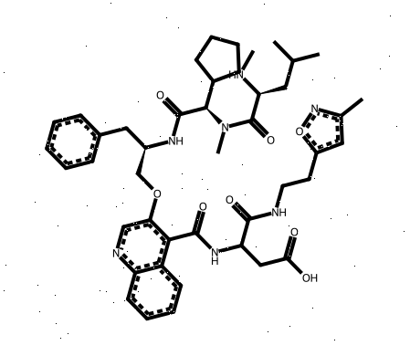 CN[C@@H](CC(C)C)C(=O)N(C)[C@@H](C(=O)N[C@@H](COc1cnc2ccccc2c1C(=O)NC(CC(=O)O)C(=O)NCCc1cc(C)no1)Cc1ccccc1)C1CCCC1